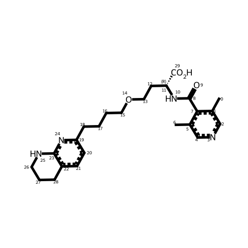 Cc1cncc(C)c1C(=O)N[C@H](CCOCCCCc1ccc2c(n1)NCCC2)C(=O)O